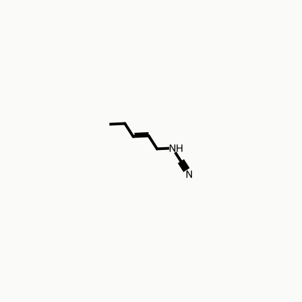 CCC=CCNC#N